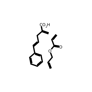 C=C(CC=Cc1ccccc1)C(=O)O.C=CCOC(=O)C=C